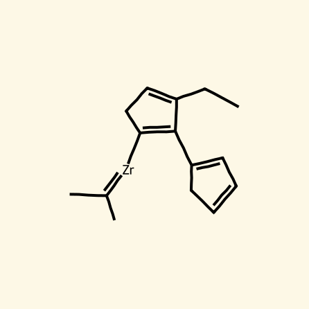 CCC1=CC[C]([Zr]=[C](C)C)=C1C1=CC=CC1